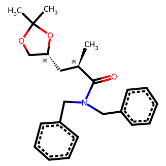 C[C@H](C[C@@H]1COC(C)(C)O1)C(=O)N(Cc1ccccc1)Cc1ccccc1